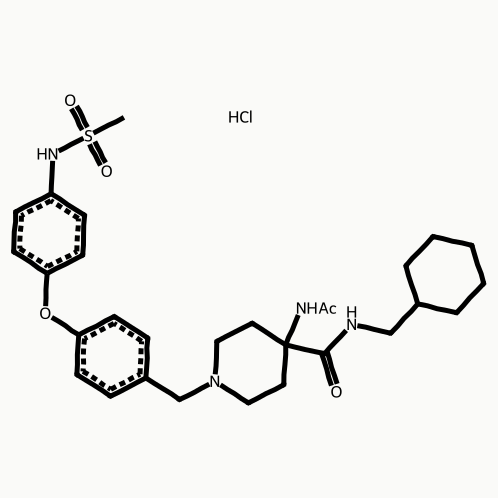 CC(=O)NC1(C(=O)NCC2CCCCC2)CCN(Cc2ccc(Oc3ccc(NS(C)(=O)=O)cc3)cc2)CC1.Cl